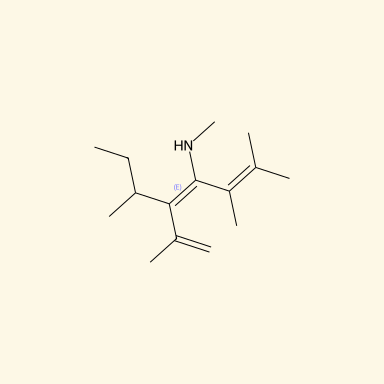 C=C(C)/C(=C(/NC)C(C)=C(C)C)C(C)CC